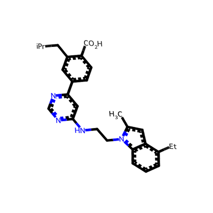 CCc1cccc2c1cc(C)n2CCNc1cc(-c2ccc(C(=O)O)c(CC(C)C)c2)ncn1